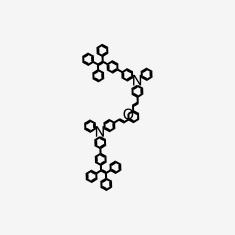 C1=C(/C=C/c2ccc(N(c3ccccc3)c3ccc(-c4ccc(C(=C(c5ccccc5)c5ccccc5)c5ccccc5)cc4)cc3)cc2)OC(/C=C/c2ccc(N(c3ccccc3)c3ccc(-c4ccc(C(=C(c5ccccc5)c5ccccc5)c5ccccc5)cc4)cc3)cc2)=CC1